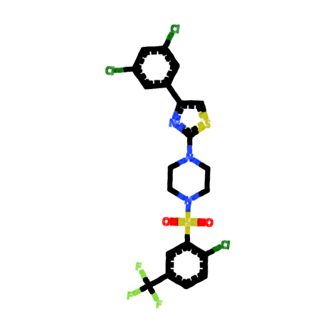 O=S(=O)(c1cc(C(F)(F)F)ccc1Cl)N1CCN(c2nc(-c3cc(Cl)cc(Cl)c3)cs2)CC1